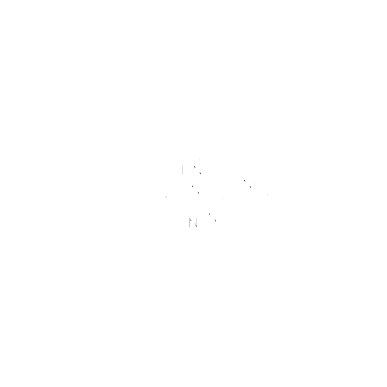 Nc1c[nH]n2c(-c3ccccc3)nnc12